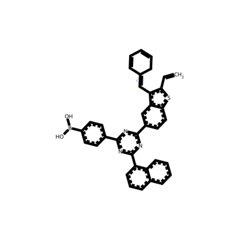 C=Cc1sc2ccc(-c3nc(-c4ccc(B(O)O)cc4)nc(-c4cccc5ccccc45)n3)cc2c1/C=C1/C=CC=CC1